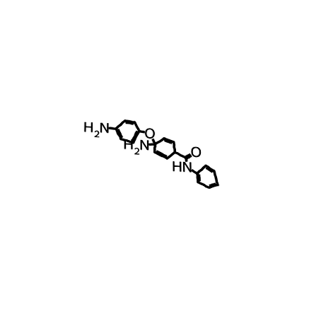 Nc1ccc(OC2(N)C=CC(C(=O)Nc3ccccc3)C=C2)cc1